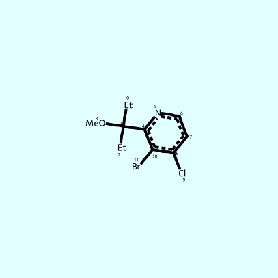 CCC(CC)(OC)c1nccc(Cl)c1Br